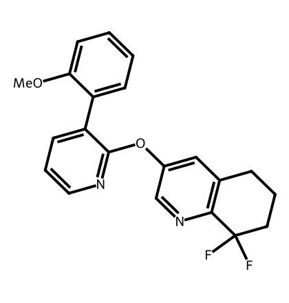 COc1ccccc1-c1cccnc1Oc1cnc2c(c1)CCCC2(F)F